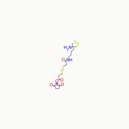 NC1(CCCCNC(=O)CCSSCCC(=O)ON2C(=O)CCC2=O)CSSC1